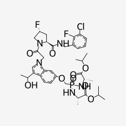 CC(C)OC(=O)[C@H](C)NP(=O)(COc1ccc2c(C(C)O)cn(CC(=O)N3C[C@H](F)C[C@H]3C(=O)NCc3cccc(Cl)c3F)c2c1)N[C@@H](C)C(=O)OC(C)C